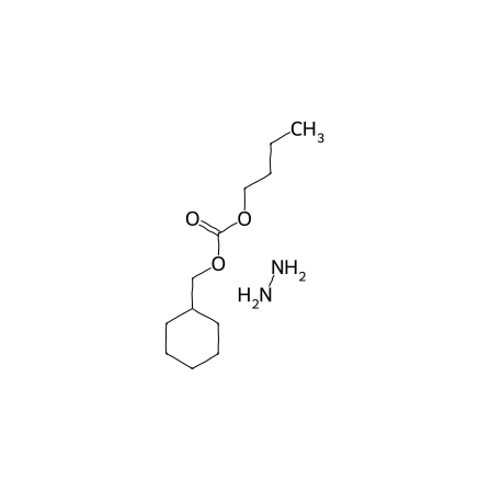 CCCCOC(=O)OCC1CCCCC1.NN